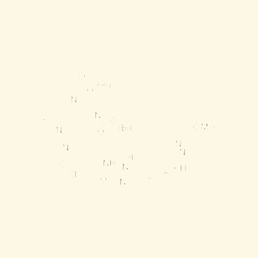 COCCn1cc(-c2ccc(-c3cnc(C(=O)Nc4ccc(C(=O)N5CCN(C(=O)C6CC[N+](CC(=O)OC(C)(C)C)(CC7CN(C(=O)OC(C)(C)C)C7)CC6)CC5)c(Cl)c4)n3C)c(F)c2F)c(C)n1